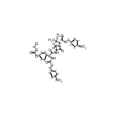 CC1(C)S[C@@H]2[C@H](NC(=O)C(NC(=O)OCc3ccc([N+](=O)[O-])cc3)c3ccc(OC(=O)OCCl)cc3)C(=O)N2[C@H]1C(=O)OCc1ccc([N+](=O)[O-])cc1